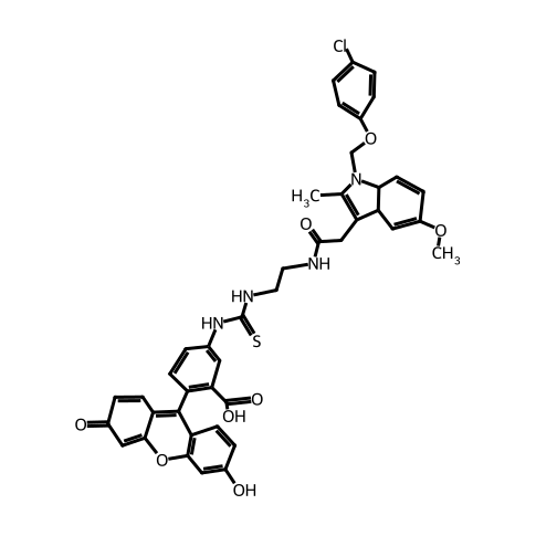 COC1=CC2C(CC(=O)NCCNC(=S)Nc3ccc(-c4c5ccc(=O)cc-5oc5cc(O)ccc45)c(C(=O)O)c3)=C(C)N(COc3ccc(Cl)cc3)C2C=C1